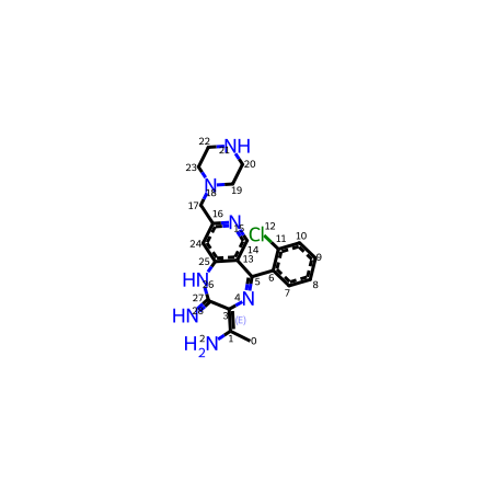 C/C(N)=C1\N=C(c2ccccc2Cl)c2cnc(CN3CCNCC3)cc2NC1=N